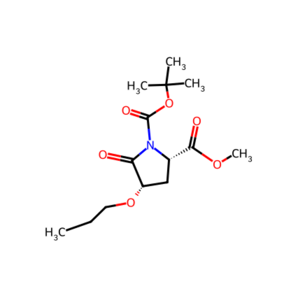 CCCO[C@H]1C[C@@H](C(=O)OC)N(C(=O)OC(C)(C)C)C1=O